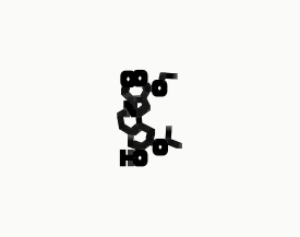 CCOC(=O)c1cc2n(c1C=O)CCc1cc(O)c(OC(C)C)cc1-2